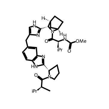 COC(=O)N[C@H](C(=O)N1[C@@H]2CC[C@@H](C2)[C@H]1c1nc(Cc2ccc3[nH]c([C@@H]4CCCN4C(=O)[C@@H](C)C(C)C)nc3c2)c[nH]1)C(C)C